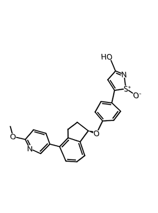 COc1ccc(-c2cccc3c2CC[C@H]3Oc2ccc(-c3cc(O)n[s+]3[O-])cc2)cn1